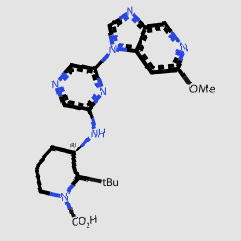 COc1cc2c(cn1)ncn2-c1cncc(N[C@@H]2CCCN(C(=O)O)C2C(C)(C)C)n1